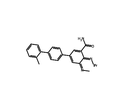 C/N=C1/C=C(c2ccc(-c3ccccc3C)cc2)C=C(C(N)=O)/C1=N/C(C)C